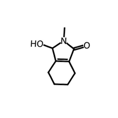 CN1C(=O)C2=C(CCCC2)C1O